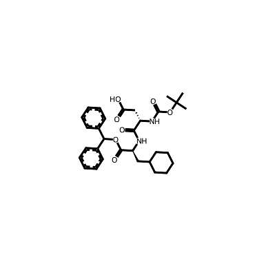 CC(C)(C)OC(=O)N[C@@H](CC(=O)O)C(=O)N[C@@H](CC1CCCCC1)C(=O)OC(c1ccccc1)c1ccccc1